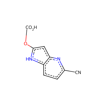 N#Cc1ccc2[nH]c(OC(=O)O)cc2n1